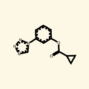 O=C(Oc1cccc(-n2cnnn2)c1)C1CC1